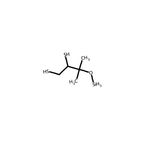 CC(C)(O[SiH3])C(S)CS